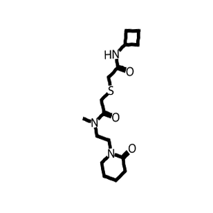 CN(CCN1CCCCC1=O)C(=O)CSCC(=O)NC1CCC1